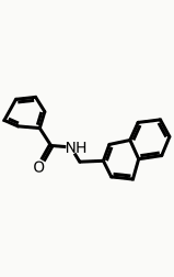 O=C(NCc1ccc2ccccc2c1)c1ccccc1